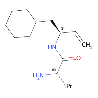 C=C[C@H](CC1CCCCC1)NC(=O)[C@@H](N)C(C)C